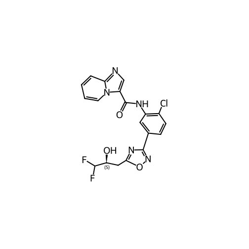 O=C(Nc1cc(-c2noc(C[C@H](O)C(F)F)n2)ccc1Cl)c1cnc2ccccn12